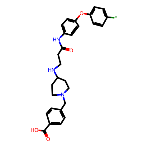 O=C(CCNC1CCN(Cc2ccc(C(=O)O)cc2)CC1)Nc1ccc(Oc2ccc(F)cc2)cc1